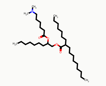 CCCCCCCCCC(CCCCCCC)C(=O)OCC(CCCCCCC)OC(=O)CCCCCN(C)C